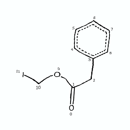 O=C(Cc1ccccc1)OCI